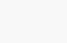 CC(=O)c1ccc([N+](=O)[O-])nc1Br